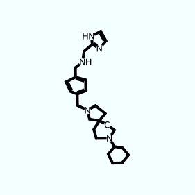 c1c[nH]c(CNCc2ccc(CN3CCC4(CCN(C5CCCCC5)CC4)C3)cc2)n1